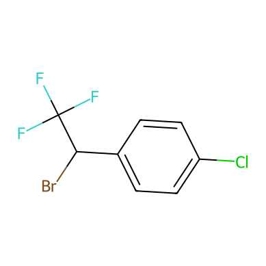 FC(F)(F)C(Br)c1ccc(Cl)cc1